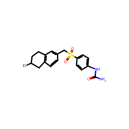 CCC1CCc2cc(CS(=O)(=O)c3ccc(NC(N)=O)cc3)ccc2C1